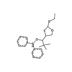 CCOC1OCC(C(O[SiH](c2ccccc2)c2ccccc2)C(C)(C)C)S1